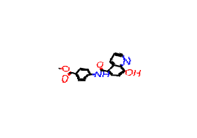 COC(=O)c1ccc(NC(=O)c2ccc(O)c3ncccc23)cc1